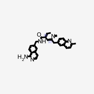 C=N/C(=C\C(=C/C)C(=O)NCc1ccc2c(N)nccc2c1)Cc1ccc2nc(C)ccc2c1